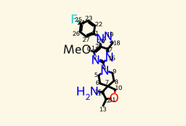 COc1nc(N2CCC3(CC2)COC(C)C3N)nc2cnn(-c3ccc(F)cc3)c12